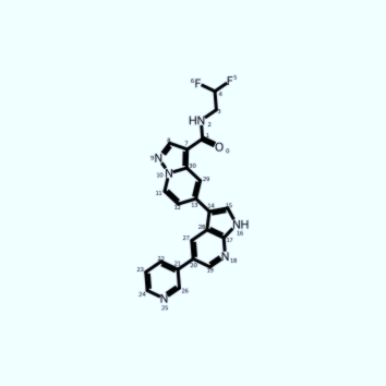 O=C(NCC(F)F)c1cnn2ccc(-c3c[nH]c4ncc(-c5cccnc5)cc34)cc12